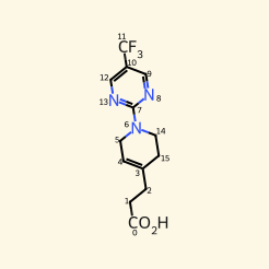 O=C(O)CCC1=CCN(c2ncc(C(F)(F)F)cn2)CC1